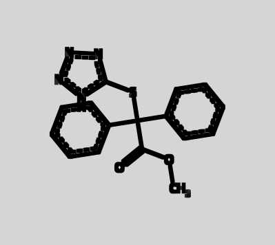 COC(=O)C(Sc1nnn[nH]1)(c1ccccc1)c1ccccc1